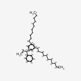 CCCCCCCCCCCc1cc(CCCCCCCCCCC)c[n+](C(CC)c2ccccc2)c1